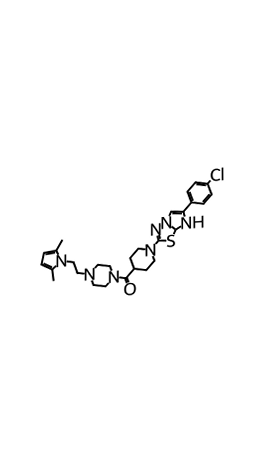 Cc1ccc(C)n1CCN1CCN(C(=O)C2CCN(C3=NN4C=C(c5ccc(Cl)cc5)NC4S3)CC2)CC1